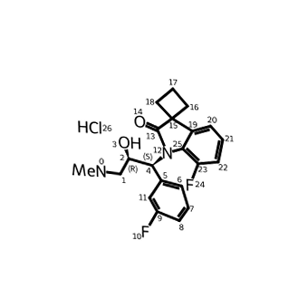 CNC[C@@H](O)[C@H](c1cccc(F)c1)N1C(=O)C2(CCC2)c2cccc(F)c21.Cl